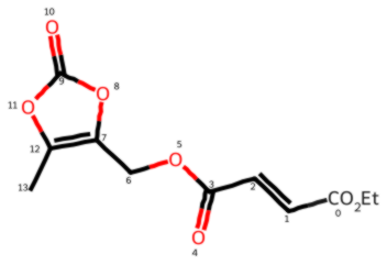 CCOC(=O)/C=C/C(=O)OCc1oc(=O)oc1C